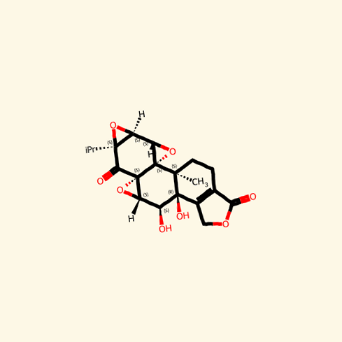 CC(C)[C@]12O[C@H]1[C@@H]1O[C@@]13[C@@]1(C)CCC4=C(COC4=O)[C@]1(O)[C@@H](O)[C@@H]1O[C@@]13C2=O